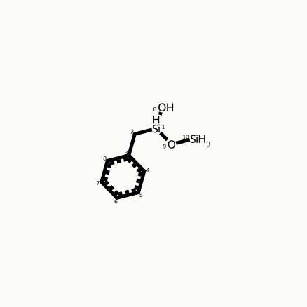 O[SiH](Cc1ccccc1)O[SiH3]